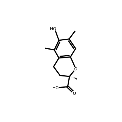 Cc1cc2c(c(C)c1O)CC[C@](C)(C(=O)O)O2